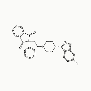 O=C1c2ccccc2C(=O)C1(CCN1CCC(c2onc3cc(F)ccc23)CC1)c1ccccc1